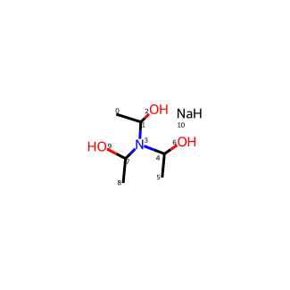 CC(O)N(C(C)O)C(C)O.[NaH]